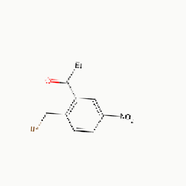 CCC(=O)c1cc([N+](=O)[O-])ccc1CBr